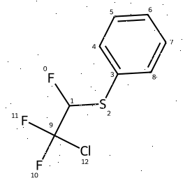 FC(Sc1ccccc1)C(F)(F)Cl